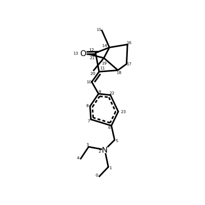 CCN(CC)Cc1ccc(C=C2C(=O)C3(C)CCC2C3(C)C)cc1